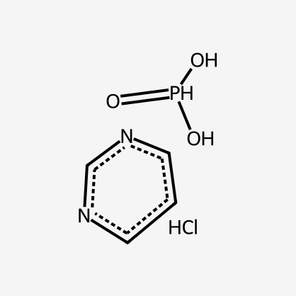 Cl.O=[PH](O)O.c1cncnc1